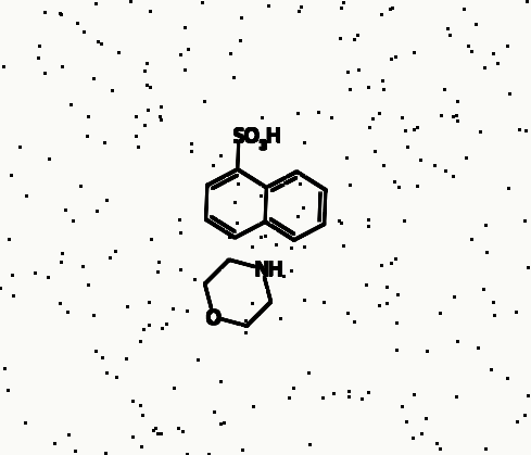 C1COCCN1.O=S(=O)(O)c1cccc2ccccc12